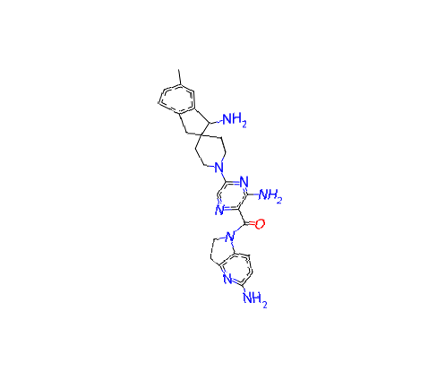 Cc1ccc2c(c1)C(N)C1(CCN(c3cnc(C(=O)N4CCc5nc(N)ccc54)c(N)n3)CC1)C2